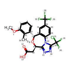 COc1cccc([C@H]2O[C@H](CC(=O)O)c3nnc(C(F)(F)Cl)n3-c3ccc(C(F)(F)F)cc32)c1C